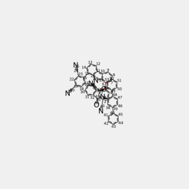 N#Cc1ccc(-c2cccc3c4cccc(-c5ccc(C#N)cc5C#N)c4n(-c4cccc5c4C(=O)N(c4cc(-c6ccccc6)ccc4-c4ccccc4)C5=O)c23)c(C#N)c1